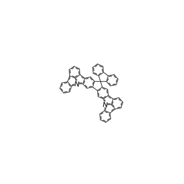 c1ccc2c(c1)-c1ccccc1C21c2cc3c4cccc5c6ccccc6n(c3cc2-c2cc3c(cc21)c1cccc2c6ccccc6n3c21)c54